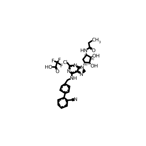 CCC(=O)N[C@H]1C[C@@H](n2cnc3c(NCc4ccc(-c5ccccc5C#N)cc4)nc(Cl)nc32)[C@H](O)[C@@H]1O.O=C(O)C(F)(F)F